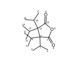 CC(C)C1(C(C)C)C(=O)OC(=O)C1(C(C)C)C(C)C